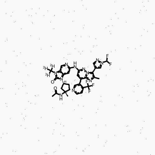 [2H]C([2H])([2H])n1c(=O)n([C@@H]2CC[C@](C)(NC(C)=O)C2)c2cc(Nc3cc(-c4cnccc4C(F)(F)F)c4nc(C)c(-c5cnn(C(F)F)c5)n4n3)ncc21